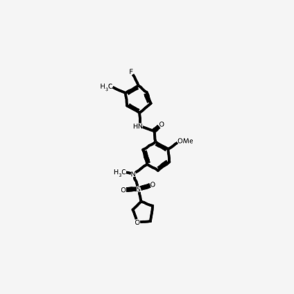 COc1ccc(N(C)S(=O)(=O)C2CCOC2)cc1C(=O)Nc1ccc(F)c(C)c1